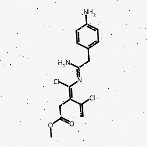 C=C(Cl)/C(CC(=O)OC)=C(Cl)\N=C(/N)Cc1ccc(N)cc1